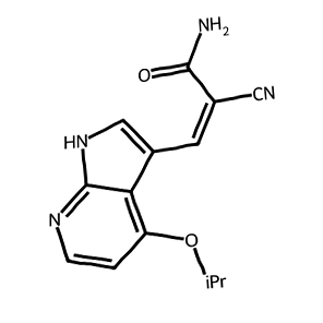 CC(C)Oc1ccnc2[nH]cc(C=C(C#N)C(N)=O)c12